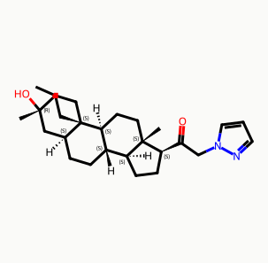 CCC[C@]12CC[C@@](C)(O)C[C@@H]1CC[C@H]1[C@@H]3CC[C@H](C(=O)Cn4cccn4)[C@@]3(C)CC[C@@H]12